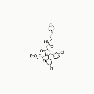 CCOC(=O)C(CC)N1C(=O)C(CC(=O)NCCCN2CCOCC2)CC(c2cccc(Cl)c2)C1c1ccc(Cl)cc1